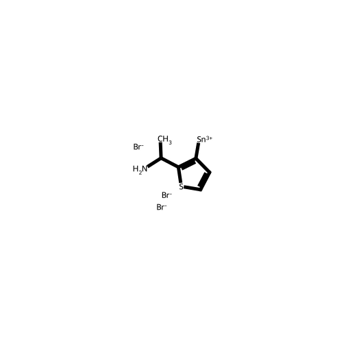 CC(N)c1scc[c]1[Sn+3].[Br-].[Br-].[Br-]